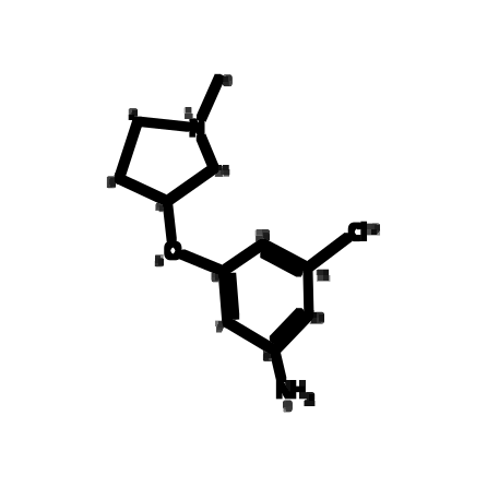 CN1CCC(Oc2cc(N)cc(Cl)c2)C1